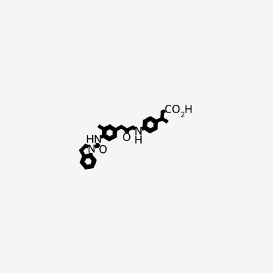 Cc1cc(CC(=O)CNc2ccc(C(C)CC(=O)O)cc2)ccc1NC(=O)N1CCc2ccccc21